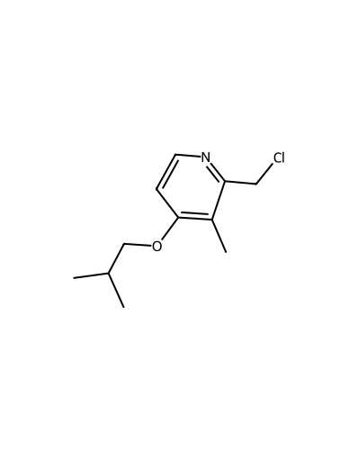 Cc1c(OCC(C)C)ccnc1CCl